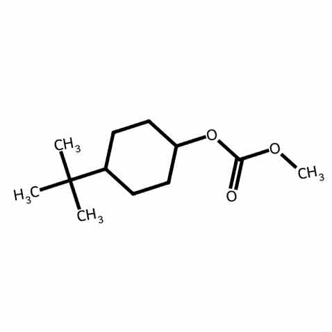 COC(=O)OC1CCC(C(C)(C)C)CC1